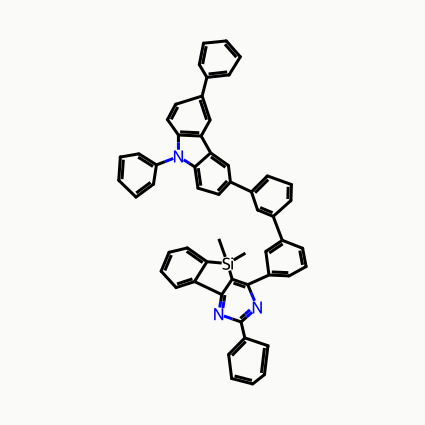 C[Si]1(C)c2ccccc2-c2nc(-c3ccccc3)nc(-c3cccc(-c4cccc(-c5ccc6c(c5)c5cc(-c7ccccc7)ccc5n6-c5ccccc5)c4)c3)c21